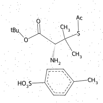 CC(=O)SC(C)(C)[C@H](N)C(=O)OC(C)(C)C.Cc1ccc(S(=O)(=O)O)cc1